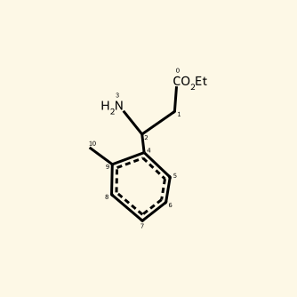 CCOC(=O)CC(N)c1ccccc1C